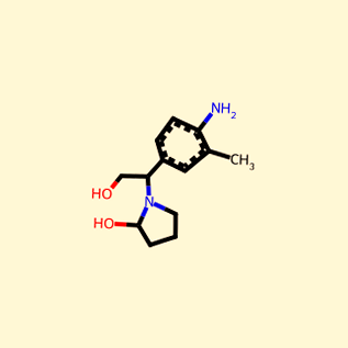 Cc1cc(C(CO)N2CCCC2O)ccc1N